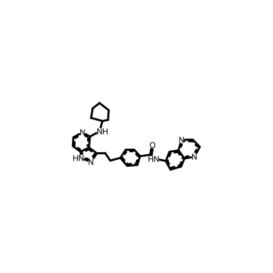 O=C(Nc1ccc2nccnc2c1)c1ccc(CCc2n[nH]c3ccnc(NC4CCCCC4)c23)cc1